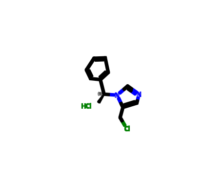 C[C@@H](c1ccccc1)n1cncc1CCl.Cl